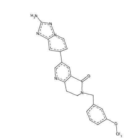 Nc1nc2cc(-c3cnc4c(c3)C(=O)N(Cc3cccc(OC(F)(F)F)c3)CC4)ccn2n1